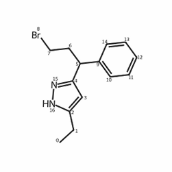 CCc1cc(C(CCBr)c2ccccc2)n[nH]1